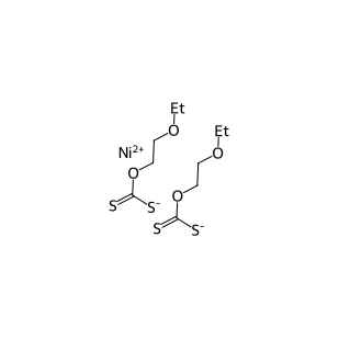 CCOCCOC(=S)[S-].CCOCCOC(=S)[S-].[Ni+2]